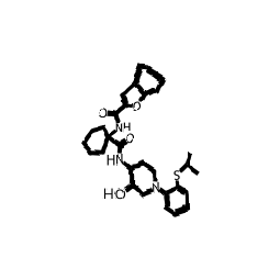 CC(C)Sc1ccccc1N1CCC(NC(=O)C2(NC(=O)c3cc4ccccc4o3)CCCCC2)C(O)C1